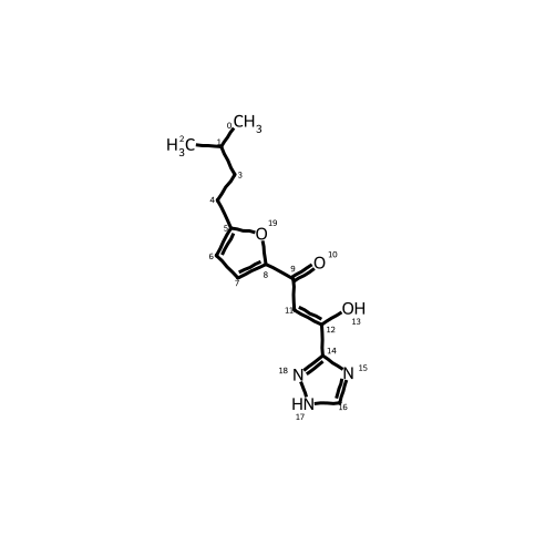 CC(C)CCc1ccc(C(=O)C=C(O)c2nc[nH]n2)o1